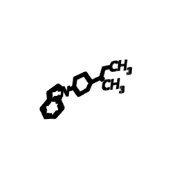 CCC(C)C1CCC(n2ccc3ccccc32)CC1